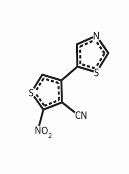 N#Cc1c(-c2cncs2)csc1[N+](=O)[O-]